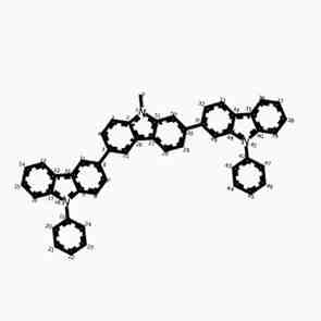 Cn1c2ccc(-c3ccc4c(c3)c3ccccc3n4-c3ccccc3)cc2c2ccc(-c3ccc4c5ccccc5n(-c5ccccc5)c4c3)cc21